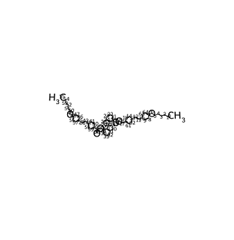 CCCCCCOc1ccc(/C=C/c2ccc(COOc3cccc4c3C3(CC4)CCc4cccc(OC(=O)c5ccc(/C=C/c6ccc(OCCCCCC)cc6)cc5)c43)cc2)cc1